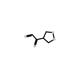 O=CC(=O)C1COOC1